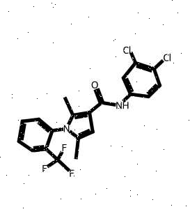 Cc1cc(C(=O)Nc2ccc(Cl)c(Cl)c2)c(C)n1-c1ccccc1C(F)(F)F